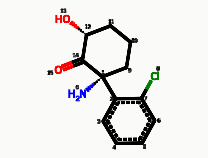 N[C@@]1(c2ccccc2Cl)CCC[C@@H](O)C1=O